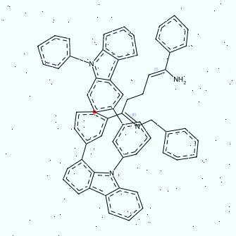 N/C(=C\CC/C(=N\Cc1ccccc1)c1cccc(-c2cccc3c4ccccc4n(-c4cccc(-c5ccc6c(c5)c5ccccc5n6-c5ccccc5)c4)c23)c1)c1ccccc1